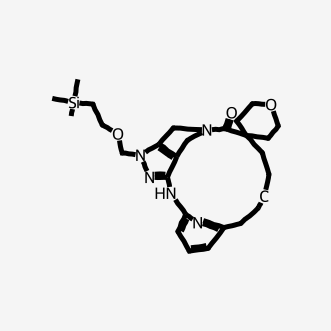 C[Si](C)(C)CCOCn1nc2c3c1CN(C3)C(=O)C1(CCCCCc3cccc(n3)N2)CCOCC1